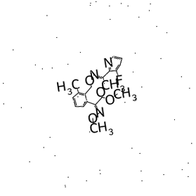 CO/N=C(/C(=O)OC)c1cccc(C)c1CO/N=C(\C)c1ncccc1F